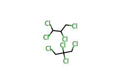 ClCC(Cl)(Cl)CCl.ClCC(Cl)C(Cl)Cl